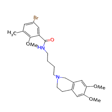 COc1cc2c(cc1OC)CN(CCCCNC(=O)c1cc(Br)cc(C)c1OC)CC2